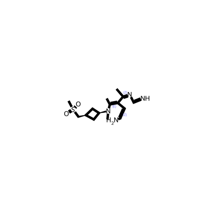 CC(=N/C=N)/C(/C=C\N)=C(\C)N(C)[C@H]1C[C@@H](CS(C)(=O)=O)C1